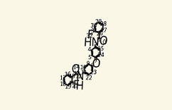 O=C(Nc1ccc(Oc2ccc(NC(=O)c3ccccc3F)cc2)cc1)c1ccccc1F